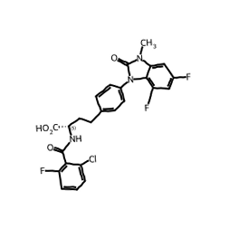 Cn1c(=O)n(-c2ccc(CC[C@H](NC(=O)c3c(F)cccc3Cl)C(=O)O)cc2)c2c(F)cc(F)cc21